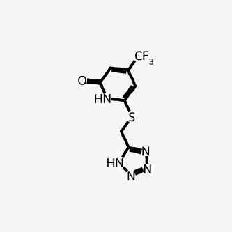 O=c1cc(C(F)(F)F)cc(SCc2nnn[nH]2)[nH]1